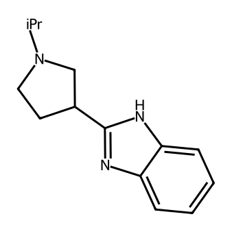 CC(C)N1CCC(c2nc3ccccc3[nH]2)C1